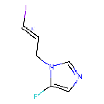 Fc1cncn1C/C=C/I